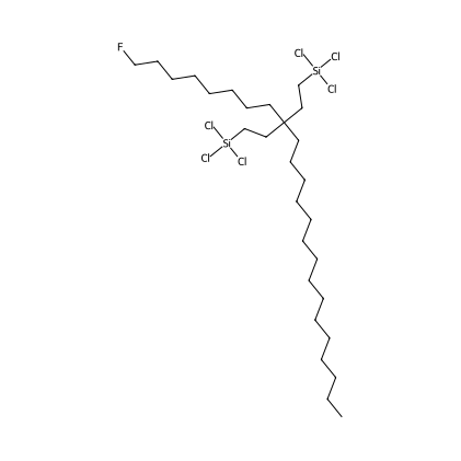 CCCCCCCCCCCCCCCC(CCCCCCCCF)(CC[Si](Cl)(Cl)Cl)CC[Si](Cl)(Cl)Cl